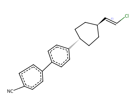 N#Cc1ccc(-c2ccc([C@H]3CC[C@H](/C=C/Cl)CC3)cc2)cc1